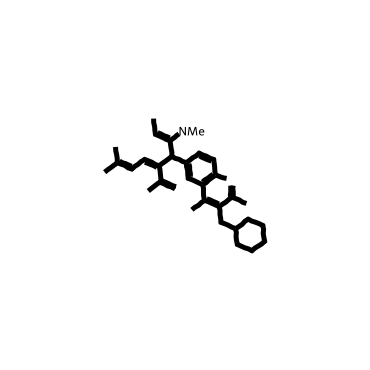 C=C(C)/C(=C\C=C(C)C)C(/C(=C/C)NC)c1ccc(C)c(/C(C)=C(/CC2CCCCC2)C(=C)C)c1